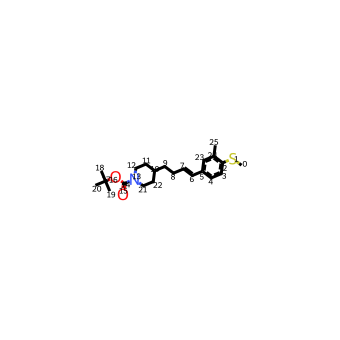 CSc1ccc(C=CCCC2CCN(C(=O)OC(C)(C)C)CC2)cc1C